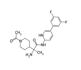 CC(=O)N1CCC(C(C)(N)C(=O)NC2C=CC(c3cc(F)cc(F)c3)=CN2)CC1